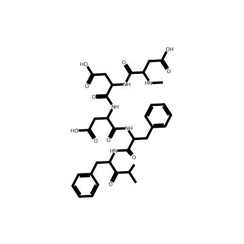 CNC(CC(=O)O)C(=O)NC(CC(=O)O)C(=O)NC(CC(=O)O)C(=O)NC(Cc1ccccc1)C(=O)NC(Cc1ccccc1)C(=O)C(C)C